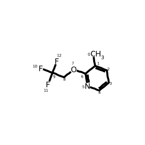 Cc1cccnc1OCC(F)(F)F